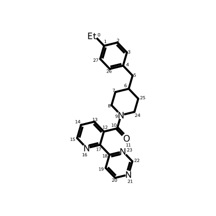 CCc1ccc(CC2CCN(C(=O)c3cccnc3-c3ccncn3)CC2)cc1